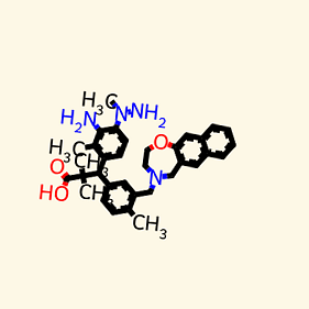 Cc1ccc(C(c2ccc(N(C)N)c(N)c2C)C(C)(C)C(=O)O)cc1CN1CCOc2cc3ccccc3cc2C1